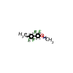 C/C=C/Oc1ccc(-c2ccc(CC)c(F)c2F)c(F)c1F